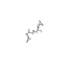 CC(CSCC(C)SC1CC1)SC1CC1